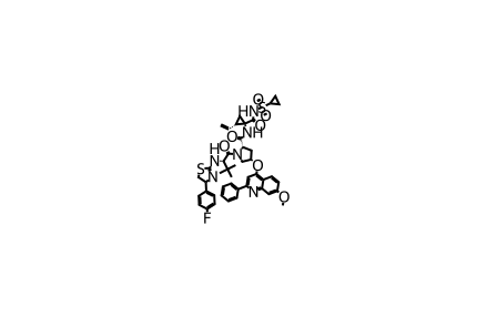 C=C[C@@H]1C[C@]1(NC(=O)[C@@H]1C[C@@H](Oc2cc(-c3ccccc3)nc3cc(OC)ccc23)CN1C(=O)[C@@H](NC1=NC(c2ccc(F)cc2)CS1)C(C)(C)C)C(=O)NS(=O)(=O)C1CC1